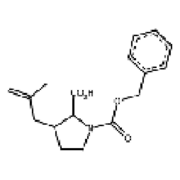 C=C(C)CC1CCN(C(=O)OCc2ccccc2)C1C(=O)O